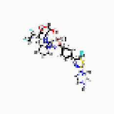 CN1CCN(c2nc(-c3ccc(C(=O)NC(C=O)(C4CCCC4)N4CC(/C(F)=C/F)C5OCC(=O)C54)cc3)c(F)s2)CC1